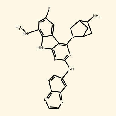 CNc1cc(F)cc2c1[nH]c1nc(Nc3cnc4nccnc4c3)nc(N3CC4CC3CC4N)c12